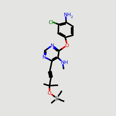 CNc1c(C#CC(C)(C)O[Si](C)(C)C)ncnc1Oc1ccc(N)c(Cl)c1